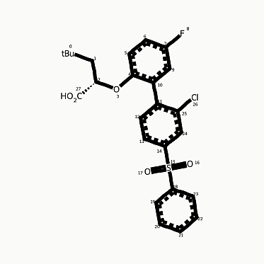 CC(C)(C)C[C@H](Oc1ccc(F)cc1-c1ccc(S(=O)(=O)c2ccccc2)cc1Cl)C(=O)O